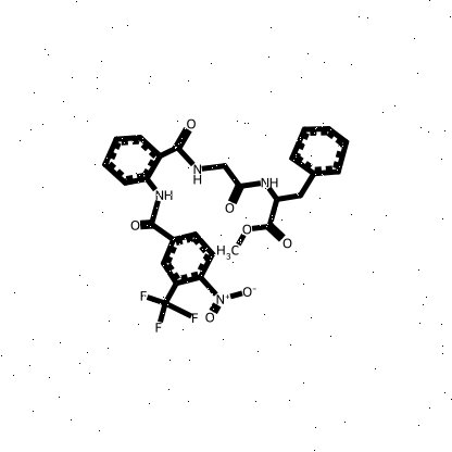 COC(=O)C(Cc1ccccc1)NC(=O)CNC(=O)c1ccccc1NC(=O)c1ccc([N+](=O)[O-])c(C(F)(F)F)c1